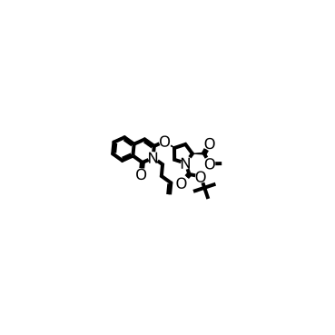 C=CCCn1c(O[C@@H]2C[C@@H](C(=O)OC)N(C(=O)OC(C)(C)C)C2)cc2ccccc2c1=O